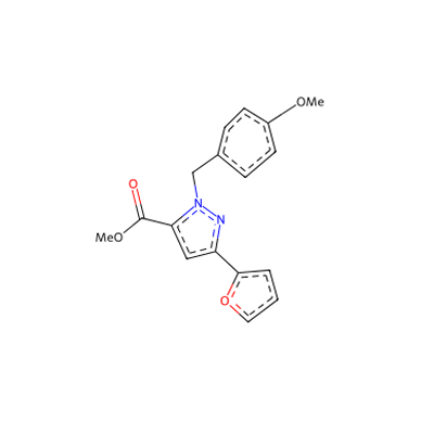 COC(=O)c1cc(-c2ccco2)nn1Cc1ccc(OC)cc1